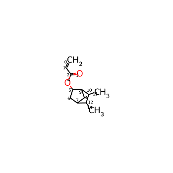 C=CC(=O)OC1CC2CC1C(C)C2C